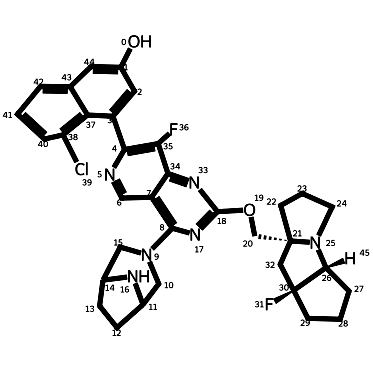 Oc1cc(-c2ncc3c(N4CC5CCC(C4)N5)nc(OC[C@]45CCCN4[C@@H]4CCC[C@]4(F)C5)nc3c2F)c2c(Cl)cccc2c1